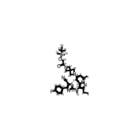 CCc1nn2c(C)cc(N3CC4(CN(C(=O)CO[Si](C)(C)C(C)(C)C)C4)C3)cc2c1N(C)c1nc(-c2ccc(F)cc2)c(C#N)s1